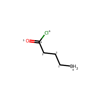 BCCCC(=O)Cl